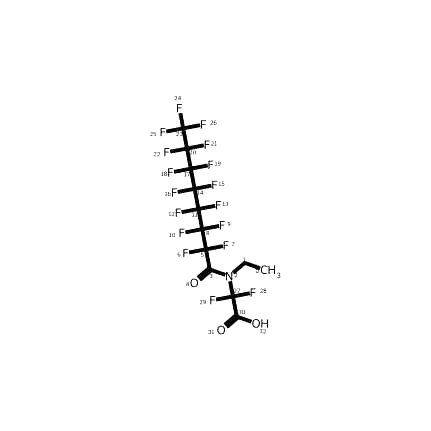 CCN(C(=O)C(F)(F)C(F)(F)C(F)(F)C(F)(F)C(F)(F)C(F)(F)C(F)(F)F)C(F)(F)C(=O)O